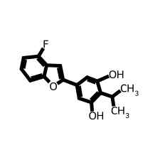 CC(C)c1c(O)cc(-c2cc3c(F)cccc3o2)cc1O